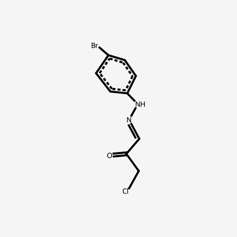 O=C(C=NNc1ccc(Br)cc1)CCl